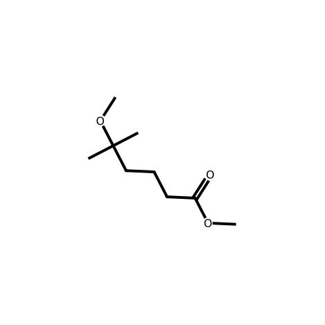 COC(=O)CCCC(C)(C)OC